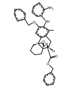 Cc1c2c(cc(OCc3ccccc3)c1Nc1ccccc1N)[C@@]13CCCC[C@H]1[C@@H](C2)N(C(=O)OCc1ccccc1)CC3